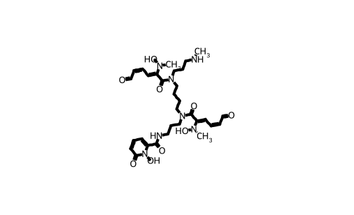 CNCCCN(CCCCN(CCCNC(=O)c1cccc(=O)n1O)C(=O)/C(=C/C=C\C=O)N(C)O)C(=O)/C(=C/C=C\C=O)N(C)O